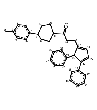 Cc1ccc(C2CCC(C(=O)CCC3=CC=C(c4ccccc4)C3c3ccccc3)CC2)cc1